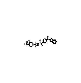 O=C(Nc1coc(N2CCc3[nH]nnc3C2)n1)c1cnc(NC2Cc3ccccc3C2)nc1